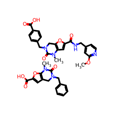 CN1C(=O)N(Cc2ccccc2)Cc2cc(C(=O)O)oc21.COc1cc(CNC(=O)c2cc3c(o2)CN(Cc2ccc(C(=O)O)cc2)C(=O)N3C)ccn1